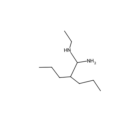 CCCC(CCC)C(N)NCC